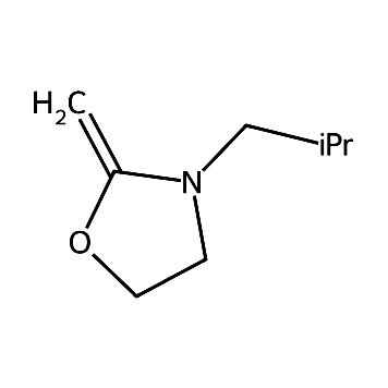 C=C1OCCN1CC(C)C